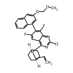 C=CC1[C@H]2CC[C@H](CC2)N1c1nc(Cl)nc2c(F)c(-c3cc(OCOC)cc4ccccc34)c(F)cc12